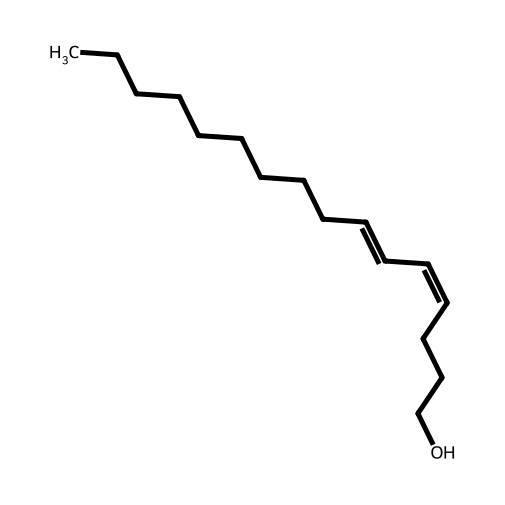 CCCCCCCCC/C=C/C=C\CCCO